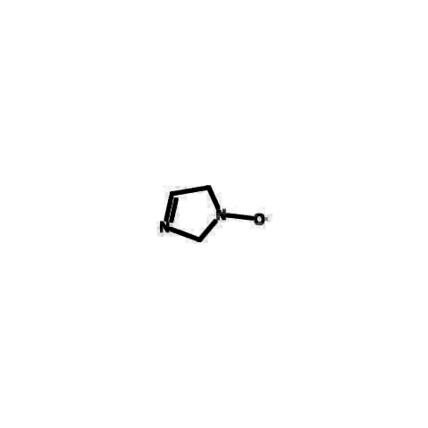 [O]N1CC=NC1